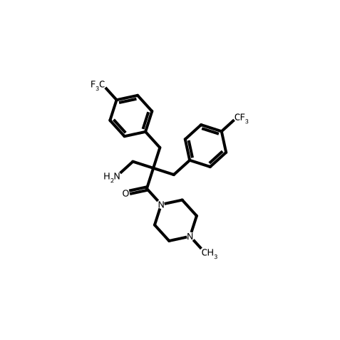 CN1CCN(C(=O)C(CN)(Cc2ccc(C(F)(F)F)cc2)Cc2ccc(C(F)(F)F)cc2)CC1